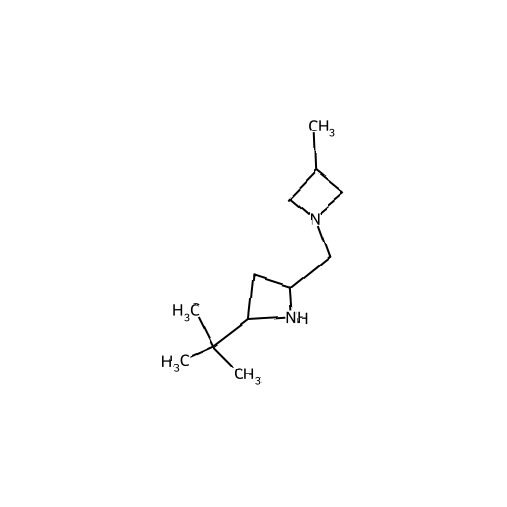 CC1CN(CC2CC(C(C)(C)C)N2)C1